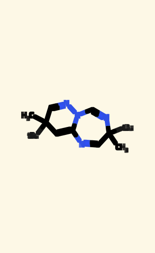 CC(C)(C)C1(C)C=NN2C=NC(C)(C(C)(C)C)C=NC2=C1